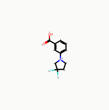 O=C(O)c1cccc(N2CCC(F)(F)C2)c1